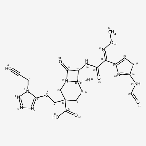 C#CCn1nnnc1SCC1(C(=O)O)CS[C@@H]2C(NC(=O)C(=NOC)c3csc(NC=O)n3)C(=O)N2C1